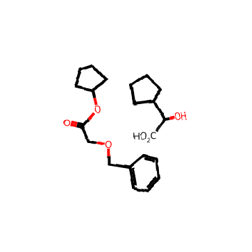 O=C(COCc1ccccc1)OC1CCCC1.O=C(O)C(O)C1CCCC1